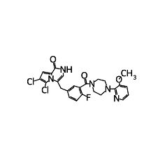 COc1cccnc1N1CCN(C(=O)c2cc(Cc3c[nH]c(=O)c4cc(Cl)c(Cl)n34)ccc2F)CC1